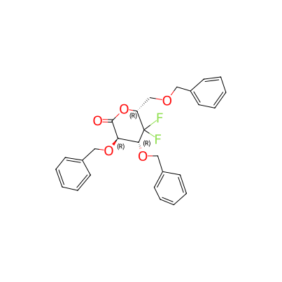 O=C1O[C@H](COCc2ccccc2)C(F)(F)[C@H](OCc2ccccc2)[C@H]1OCc1ccccc1